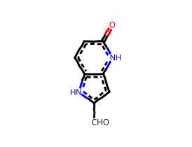 O=Cc1cc2[nH]c(=O)ccc2[nH]1